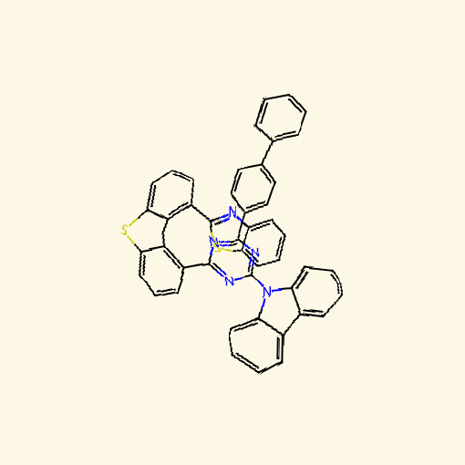 c1ccc(-c2ccc(-c3nc(-c4cccc5sc6cccc(-c7nc8ccccc8s7)c6c45)nc(-n4c5ccccc5c5ccccc54)n3)cc2)cc1